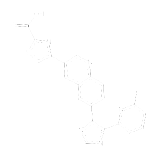 Cc1cccc(-c2[nH]cnc2-c2ccc3ncc(-c4csc(C(=O)O)n4)cc3c2)n1